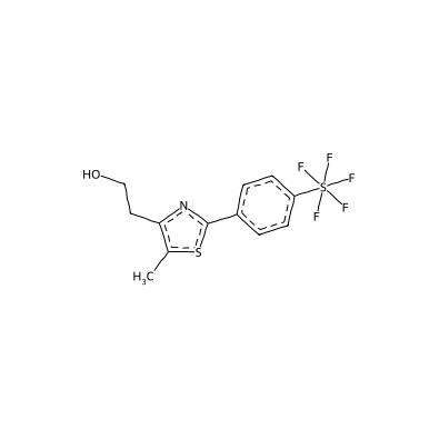 Cc1sc(-c2ccc(S(F)(F)(F)(F)F)cc2)nc1CCO